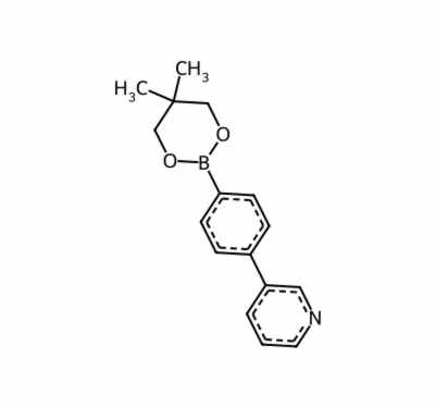 CC1(C)COB(c2ccc(-c3cccnc3)cc2)OC1